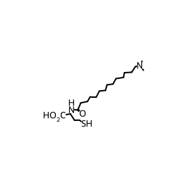 CN(C)CCCCCCCCCCCCCC(=O)NC(CCS)C(=O)O